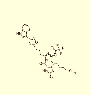 CCCCCN1c2nc(Br)[nH]c2C(=O)N2C(CCCc3nc(-c4c[nH]c5ccccc45)no3)=NN(OC(=O)C(F)(F)F)C21